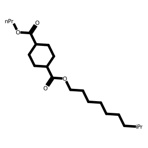 CCCOC(=O)C1CCC(C(=O)OCCCCCCCC(C)C)CC1